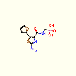 Nc1nc(C(=O)NCP(=O)(O)O)c(-c2cccs2)s1